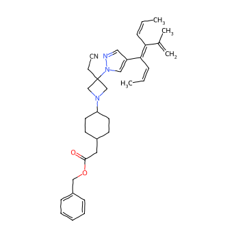 C=C(C)C(/C=C\C)=C(\C=C/C)c1cnn(C2(CC#N)CN(C3CCC(CC(=O)OCc4ccccc4)CC3)C2)c1